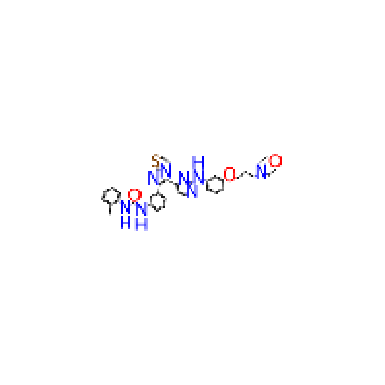 Cc1ccccc1NC(=O)Nc1cccc(-c2nc3sccn3c2-c2ccnc(Nc3cccc(OCCCN4CCOCC4)c3)n2)c1